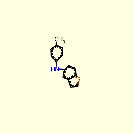 Cc1ccc(Nc2ccc3sccc3c2)cc1